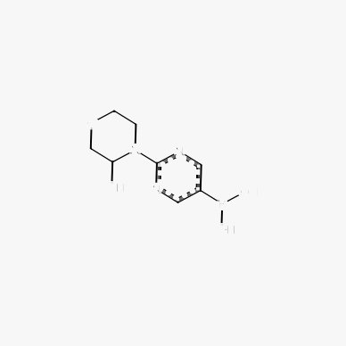 CC1COCCN1c1ncc(B(O)O)cn1